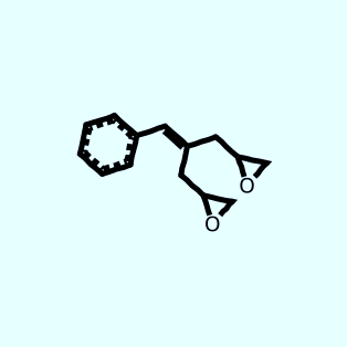 C(=C(CC1CO1)CC1CO1)c1ccccc1